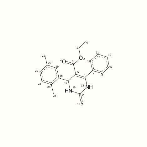 CCOC(=O)C1=C(c2ccccc2)NC(=S)NC1c1cc(C)ccc1C